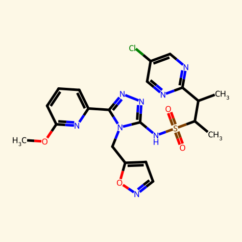 COc1cccc(-c2nnc(NS(=O)(=O)C(C)C(C)c3ncc(Cl)cn3)n2Cc2ccno2)n1